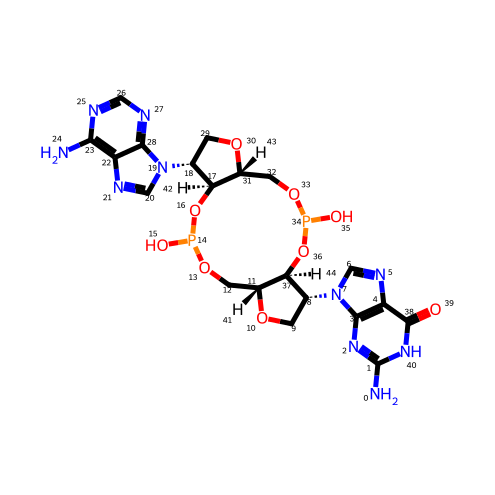 Nc1nc2c(ncn2[C@@H]2CO[C@@H]3COP(O)O[C@H]4[C@H](n5cnc6c(N)ncnc65)CO[C@@H]4COP(O)O[C@@H]23)c(=O)[nH]1